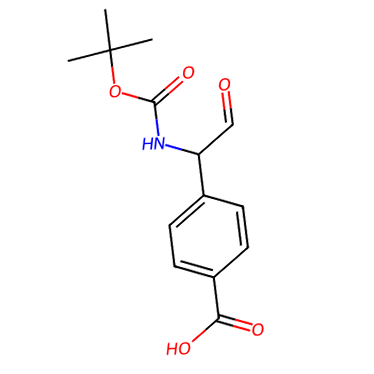 CC(C)(C)OC(=O)NC(C=O)c1ccc(C(=O)O)cc1